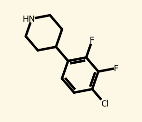 Fc1c(Cl)ccc(C2CCNCC2)c1F